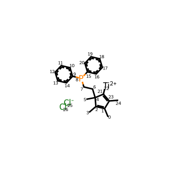 CC1=C(C)C(C)(CCP(c2ccccc2)c2ccccc2)[C]([Ti+2])=C1C.[Cl-].[Cl-]